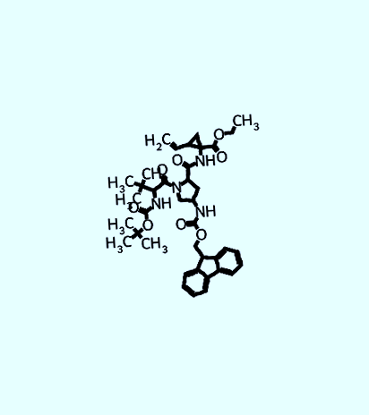 C=CC1CC1(NC(=O)C1CC(NC(=O)OCC2c3ccccc3-c3ccccc32)CN1C(=O)C(NC(=O)OC(C)(C)C)C(C)(C)C)C(=O)OCC